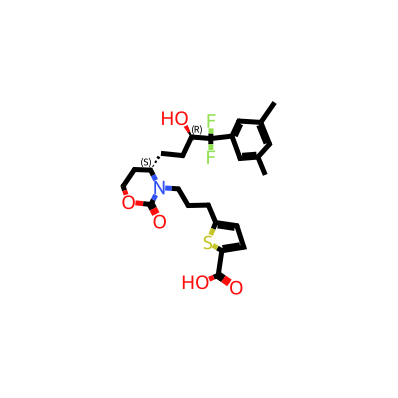 Cc1cc(C)cc(C(F)(F)[C@H](O)CC[C@H]2CCOC(=O)N2CCCc2ccc(C(=O)O)s2)c1